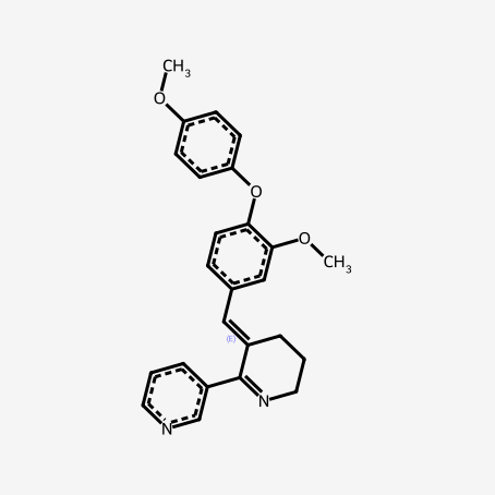 COc1ccc(Oc2ccc(/C=C3\CCCN=C3c3cccnc3)cc2OC)cc1